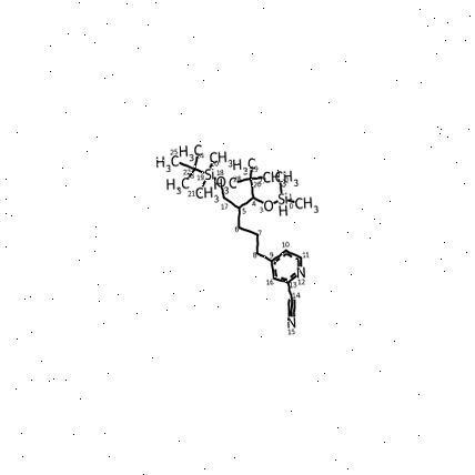 C[SiH](C)OC(C(CCCc1ccnc(C#N)c1)CO[Si](C)(C)C(C)(C)C)C(C)(C)C